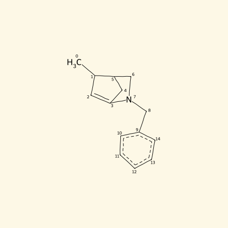 CC1C=C2CC1CN2Cc1ccccc1